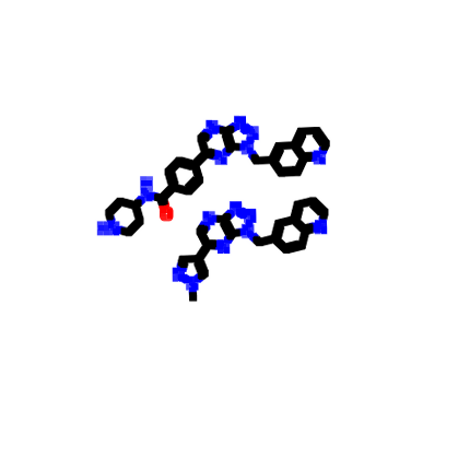 Cn1cc(-c2cnc3nnn(Cc4ccc5ncccc5c4)c3n2)cn1.O=C(NC1CCNCC1)c1ccc(-c2cnc3nnn(Cc4ccc5ncccc5c4)c3n2)cc1